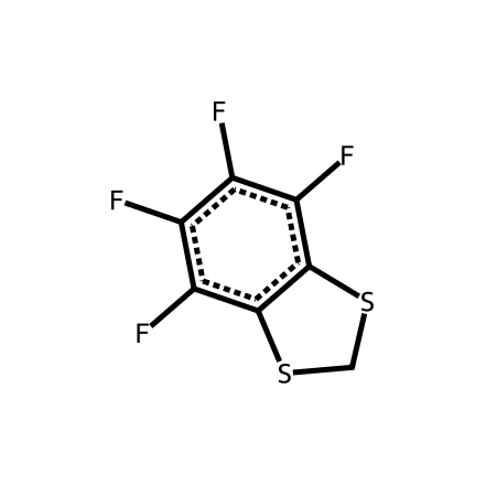 Fc1c(F)c(F)c2c(c1F)SCS2